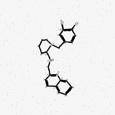 Clc1ccc(CN2CCCCC2NCc2ccc3ccccc3n2)cc1Cl